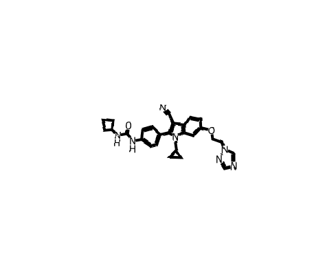 N#Cc1c(-c2ccc(NC(=O)NC3CCC3)cc2)n(C2CC2)c2cc(OCCn3cncn3)ccc12